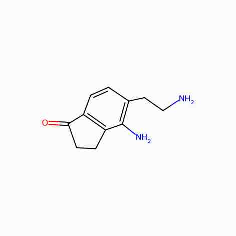 NCCc1ccc2c(c1N)CCC2=O